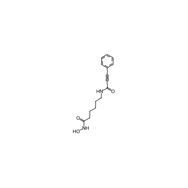 O=C(C#Cc1ccccc1)NCCCCCC(=O)NO